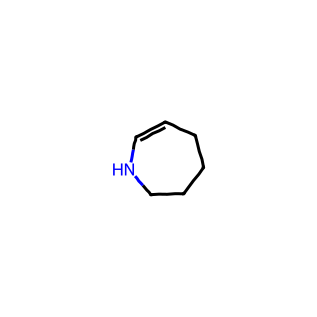 C1=CNCCCC1